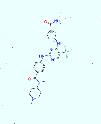 CN1CCC(N(C)C(=O)c2ccc(Nc3ncc(C(F)(F)F)c(N[C@H]4CC[C@@H](C(N)=O)C4)n3)cc2)CC1